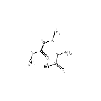 CCOC(=O)CN.NCC(=O)O